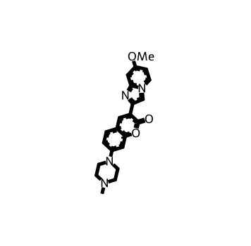 COc1ccn2cc(-c3cc4ccc(N5CCN(C)CC5)cc4oc3=O)nc2c1